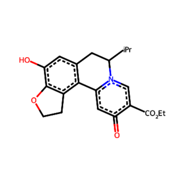 CCOC(=O)c1cn2c(cc1=O)-c1c(cc(O)c3c1CCO3)CC2C(C)C